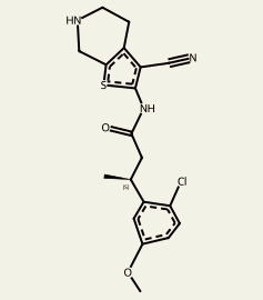 COc1ccc(Cl)c([C@@H](C)CC(=O)Nc2sc3c(c2C#N)CCNC3)c1